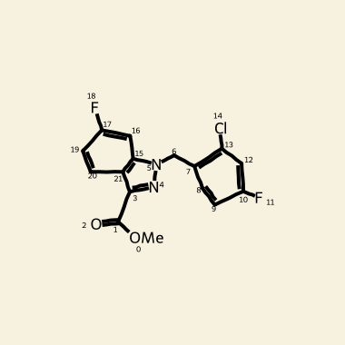 COC(=O)c1nn(Cc2ccc(F)cc2Cl)c2cc(F)ccc12